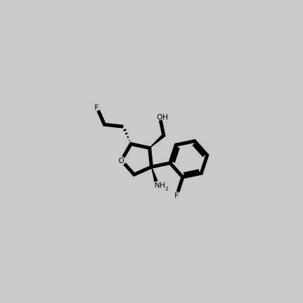 N[C@@]1(c2ccccc2F)CO[C@H](CCF)[C@H]1CO